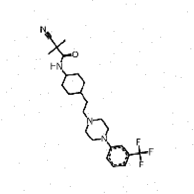 CC(C)(C#N)C(=O)NC1CCC(CCN2CCN(c3cccc(C(F)(F)F)c3)CC2)CC1